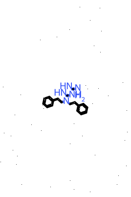 N=C(N)NC(=N)N(CCc1ccccc1)CCc1ccccc1